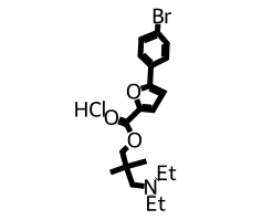 CCN(CC)CC(C)(C)COC(=O)c1ccc(-c2ccc(Br)cc2)o1.Cl